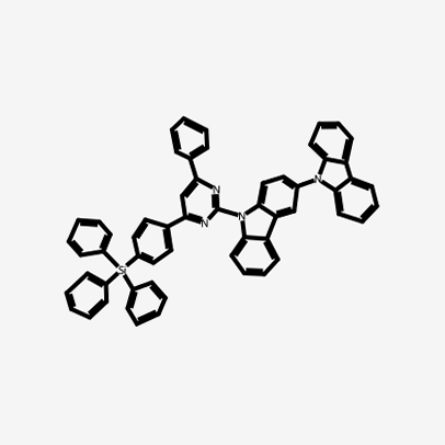 c1ccc(-c2cc(-c3ccc([Si](c4ccccc4)(c4ccccc4)c4ccccc4)cc3)nc(-n3c4ccccc4c4cc(-n5c6ccccc6c6ccccc65)ccc43)n2)cc1